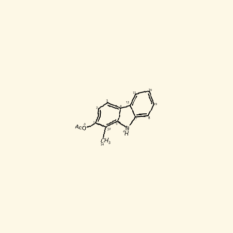 CC(=O)Oc1ccc2c([nH]c3ccccc32)c1C